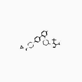 O=C(O)c1cnn(C2CCCN(c3cc(Cl)ccc3-c3ccc(N4CCN(C(=O)[C@@H]5C[C@@H]5F)CC4)cc3)C2)c1C(F)(F)F